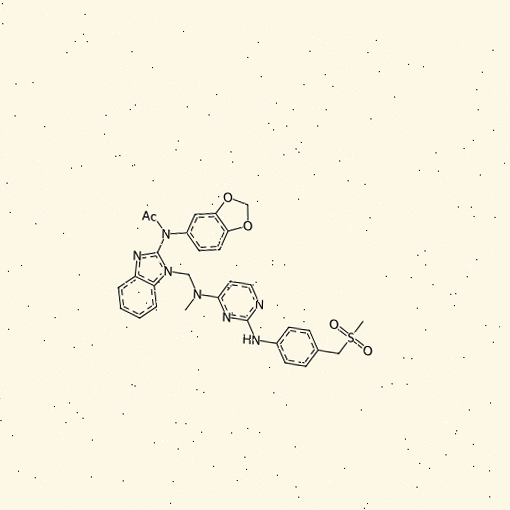 CC(=O)N(c1ccc2c(c1)OCO2)c1nc2ccccc2n1CN(C)c1ccnc(Nc2ccc(CS(C)(=O)=O)cc2)n1